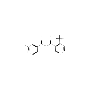 Cc1cc(C(=O)NC(=O)c2cnccc2C(F)(F)F)ccn1